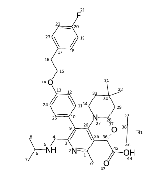 Cc1nc(CNC(C)C)c(-c2ccc(OCCc3ccc(F)cc3)cc2)c(N2CCC(C)(C)CC2)c1[C@H](OC(C)(C)C)C(=O)O